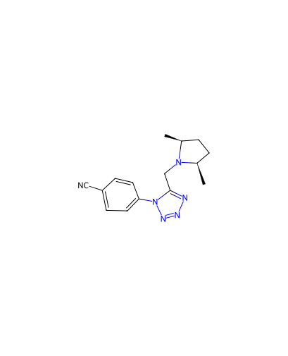 C[C@@H]1CC[C@H](C)N1Cc1nnnn1-c1ccc(C#N)cc1